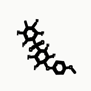 COc1ccc(Oc2c(F)c(F)c(S(=O)(=O)c3c(F)c(F)c(C)c(F)c3F)c(F)c2F)cc1